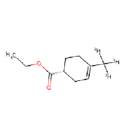 [2H]C([2H])([2H])C1=CC[C@H](C(=O)OCC)CC1